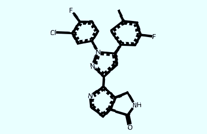 Cc1cc(F)cc(-c2cc(-c3nccc4c3CNC4=O)nn2-c2ccc(F)c(Cl)c2)c1